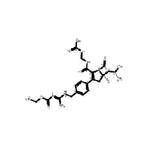 CC(=O)OCOC(=O)/N=C(\C)NCc1ccc(C2=C(C(=O)OCOC(=O)C(C)(C)C)N3C(=O)[C@H]([C@@H](C)O)[C@H]3C2)cc1